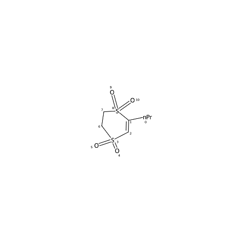 CCCC1=CS(=O)(=O)CCS1(=O)=O